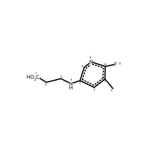 Cc1cc(NCCC(=O)O)cnc1F